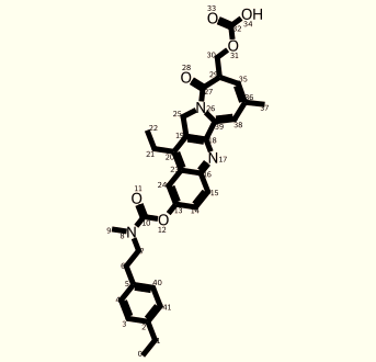 CCc1ccc(CCN(C)C(=O)Oc2ccc3nc4c(c(CC)c3c2)CN2C(=O)C(COC(=O)O)C=C(C)C=C42)cc1